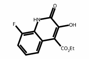 CCOC(=O)c1c(O)c(=O)[nH]c2c(F)cccc12